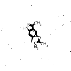 Cc1n[nH]c2cc(F)c(OC(C)C)cc12